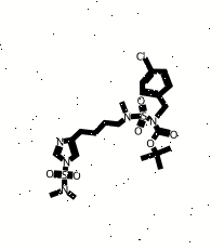 CN(CCCCc1cn(S(=O)(=O)N(C)C)cn1)S(=O)(=O)N(Cc1ccc(Cl)cc1)C(=O)OC(C)(C)C